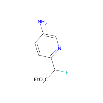 CCOC(=O)C(F)c1ccc(N)cn1